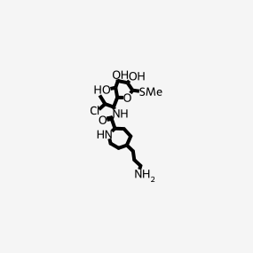 CSC1OC(C(NC(=O)C2CCC(CCCN)CCN2)C(C)Cl)C(O)C(O)C1O